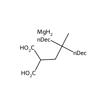 CCCCCCCCCCC(C)(CCCCCCCCCC)CC(C(=O)O)C(=O)O.[MgH2]